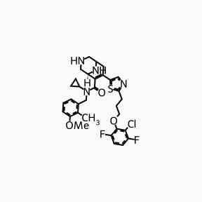 COc1cccc(CN(C(=O)C2=C(c3cnc(CCCOc4c(F)ccc(F)c4Cl)s3)CC3CNC[C@H]2N3)C2CC2)c1C